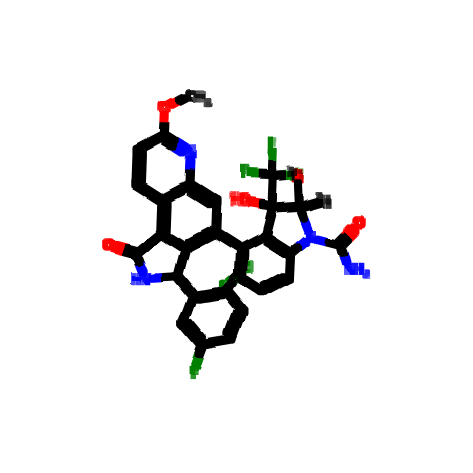 [2H]C1([2H])N(C(N)=O)c2ccc(F)c(-c3cc4nc(OC)ccc4c4c3C(c3cc(F)ccc3Cl)NC4=O)c2C1(O)C(F)(F)F